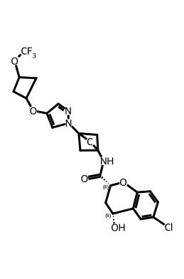 O=C(NC12CC(n3cc(OC4CC(OC(F)(F)F)C4)cn3)(C1)C2)[C@H]1C[C@@H](O)c2cc(Cl)ccc2O1